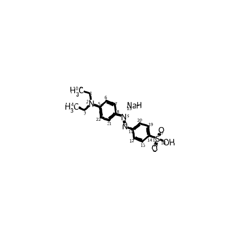 CCN(CC)c1ccc(/N=N/c2ccc(S(=O)(=O)O)cc2)cc1.[NaH]